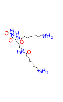 NCCCCCCCC(=O)NCCCC[C@H](NC(=O)CCCCCCCN)C(=O)N[C@@H]1CO1